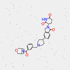 O=C1CCC(N2Cc3cc(C4CCN(Cc5cccc(C(=O)N6C7CCC6COC7)c5)CC4)ccc3C2=O)C(=O)N1